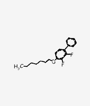 CCCCCCCOc1ccc(-c2ccccc2)c(F)c1F